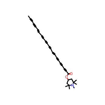 CC#CC#CC#CC#CC#CC#CC#CC#CC#CC#CC(=O)OC1CC(C)(C)N(C)C(C)(C)C1